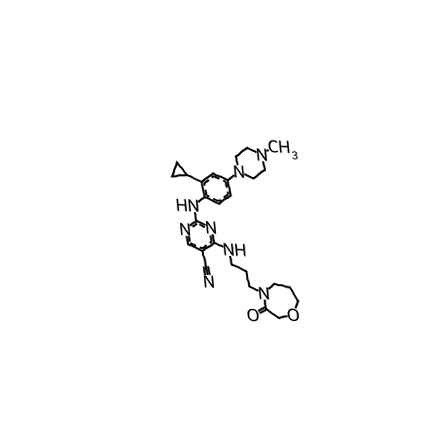 CN1CCN(c2ccc(Nc3ncc(C#N)c(NCCCN4CCCOCC4=O)n3)c(C3CC3)c2)CC1